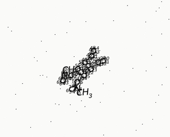 CCn1c2ccccc2c2ccc(-c3cccc4c(-c5c6cccc(-c7ccc8ccccc8c7)c6cc6c(-c7ccc8ccccc8c7)cccc56)c5cccc(-c6ccc7c8ccccc8n(CC)c7c6)c5cc34)cc21